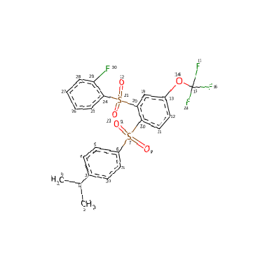 CC(C)c1ccc(S(=O)(=O)c2ccc(OC(F)(F)F)cc2S(=O)(=O)c2ccccc2F)cc1